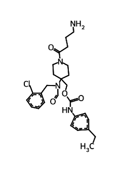 CCc1ccc(NC(=O)OCC2(N(C=O)Cc3ccccc3Cl)CCN(C(=O)CCCN)CC2)cc1